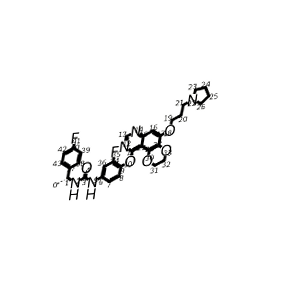 C[C@@H](NC(=O)Nc1ccc(Oc2ncnc3cc(OCCCN4CCCC4)c4c(c23)OCCO4)c(F)c1)c1ccc(F)cc1